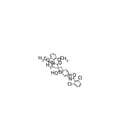 CCC(Cc1ccc(NC(=O)c2c(Cl)cccc2Cl)cc1)(C(=O)O)C(=O)Nc1c(OC)cccc1OC